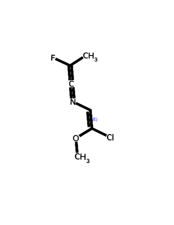 CO/C(Cl)=C\N=C=C(C)F